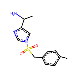 Cc1ccc(CS(=O)(=O)n2cnc(C(C)N)c2)cc1